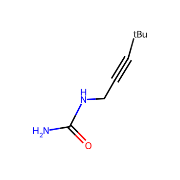 CC(C)(C)C#CCNC(N)=O